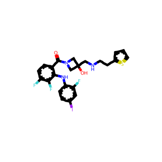 O=C(c1ccc(F)c(F)c1Nc1ccc(I)cc1F)N1CC(O)(CNCCc2cccs2)C1